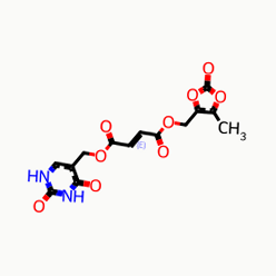 Cc1oc(=O)oc1COC(=O)/C=C/C(=O)OCc1c[nH]c(=O)[nH]c1=O